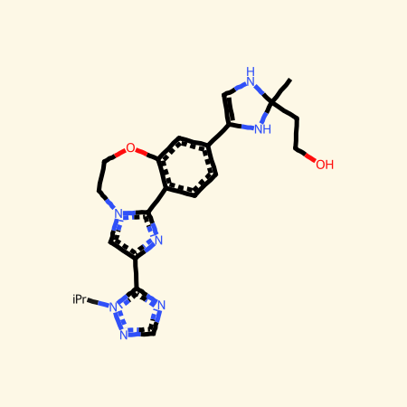 CC(C)n1ncnc1-c1cn2c(n1)-c1ccc(C3=CNC(C)(CCO)N3)cc1OCC2